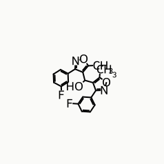 Cc1onc(-c2cccc(F)c2)c1C(O)c1c(-c2cccc(F)c2)noc1C